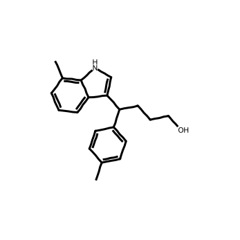 Cc1ccc(C(CCCO)c2c[nH]c3c(C)cccc23)cc1